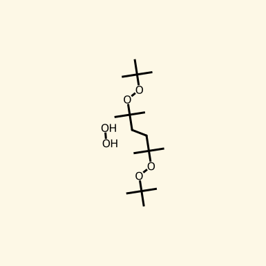 CC(C)(C)OOC(C)(C)CCC(C)(C)OOC(C)(C)C.OO